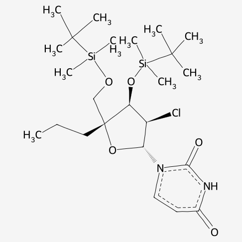 CCC[C@]1(CO[Si](C)(C)C(C)(C)C)O[C@@H](n2ccc(=O)[nH]c2=O)[C@H](Cl)[C@@H]1O[Si](C)(C)C(C)(C)C